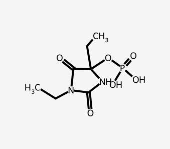 CCN1C(=O)NC(CC)(OP(=O)(O)O)C1=O